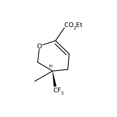 CCOC(=O)C1=CC[C@@](C)(C(F)(F)F)CO1